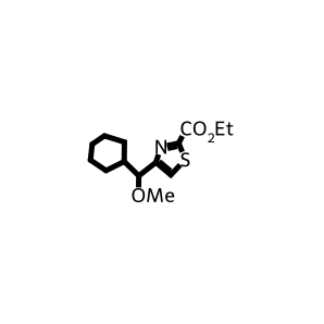 CCOC(=O)c1nc(C(OC)C2CCCCC2)cs1